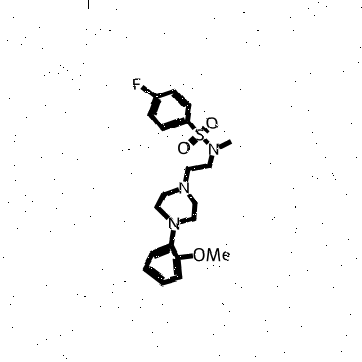 COc1ccccc1N1CCN(CCN(C)S(=O)(=O)c2ccc(F)cc2)CC1